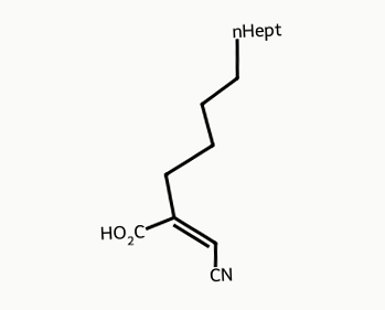 CCCCCCCCCCCC(=CC#N)C(=O)O